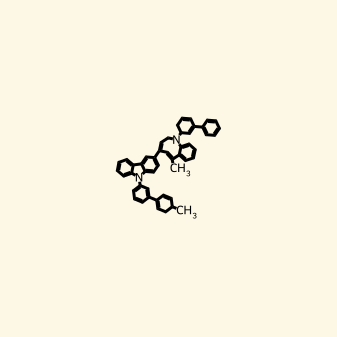 C/C1=C\C(c2ccc3c(c2)c2ccccc2n3-c2cccc(C3=CCC(C)C=C3)c2)=C/CN(C2C=C(c3ccccc3)C=CC2)c2ccccc21